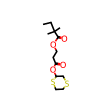 CCC(C)(C)C(=O)OCCC(=O)OC1CSCCS1